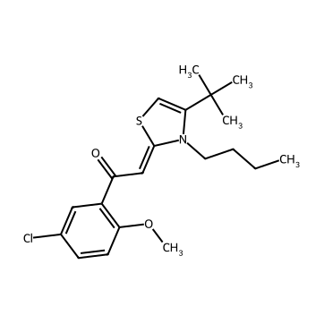 CCCCN1C(C(C)(C)C)=CS/C1=C\C(=O)c1cc(Cl)ccc1OC